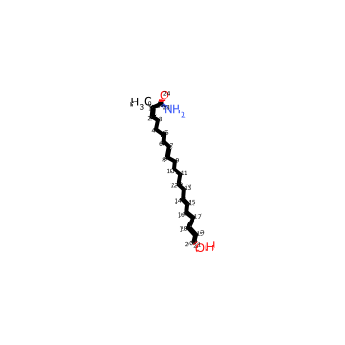 CC(=CCCCCCCCCCCCCCCCCCCO)C(N)=O